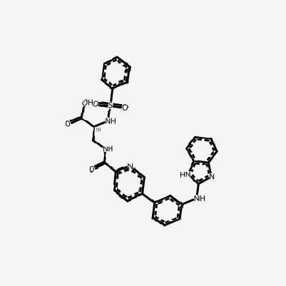 O=C(NC[C@H](NS(=O)(=O)c1ccccc1)C(=O)O)c1ccc(-c2cccc(Nc3nc4ccccc4[nH]3)c2)cn1